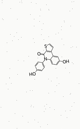 O=c1c2sccc2c2cc(O)ccc2n1-c1ccc(O)cc1